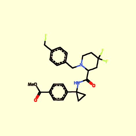 COC(=O)c1ccc(C2(NC(=O)C3CC(F)(F)CCN3Cc3ccc(CF)cc3)CC2)cc1